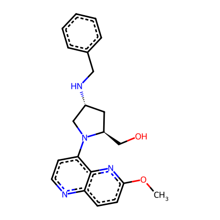 COc1ccc2nccc(N3C[C@H](NCc4ccccc4)C[C@H]3CO)c2n1